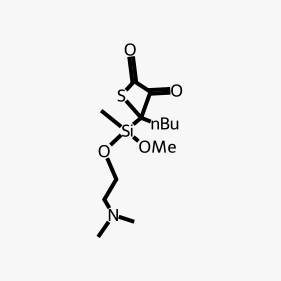 CCCCC1([Si](C)(OC)OCCN(C)C)SC(=O)C1=O